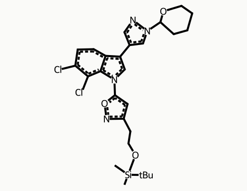 CC(C)(C)[Si](C)(C)OCCc1cc(-n2cc(-c3cnn(C4CCCCO4)c3)c3ccc(Cl)c(Cl)c32)on1